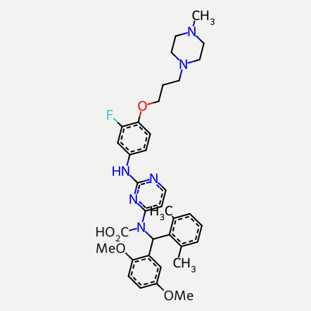 COc1ccc(OC)c(C(c2c(C)cccc2C)N(C(=O)O)c2ccnc(Nc3ccc(OCCCN4CCN(C)CC4)c(F)c3)n2)c1